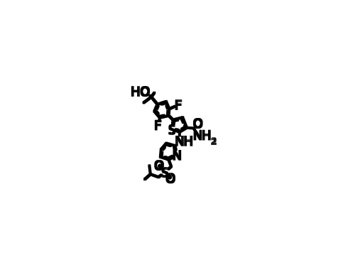 CC(C)CS(=O)(=O)Cc1cccc(Nc2sc(-c3c(F)cc(C(C)(C)O)cc3F)cc2C(N)=O)n1